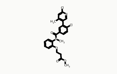 COC(=O)CCOc1ccccc1N(C)C(=O)c1ccc(Cl)c(-c2cnc(Cl)cc2C)c1